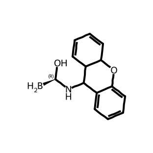 B[C@@H](O)NC1c2ccccc2OC2C=CC=CC21